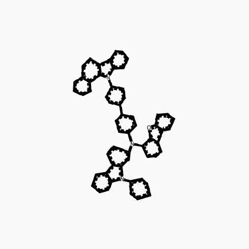 c1ccc(-n2c3ccccc3c3ccc(N(c4ccc(-c5ccc(-n6c7ccccc7c7ccc8ccccc8c76)cc5)cc4)c4cccc5c4oc4ccccc45)cc32)cc1